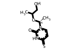 CC(CO)O[C@H](C)n1ccc(=S)[nH]c1=O